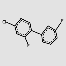 Fc1cccc(-c2ccc(Cl)cc2F)c1